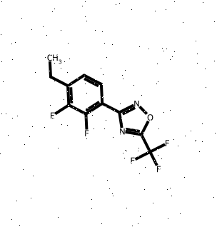 CCc1ccc(-c2noc(C(F)(F)F)n2)c(F)c1F